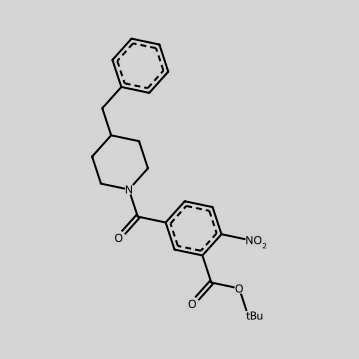 CC(C)(C)OC(=O)c1cc(C(=O)N2CCC(Cc3ccccc3)CC2)ccc1[N+](=O)[O-]